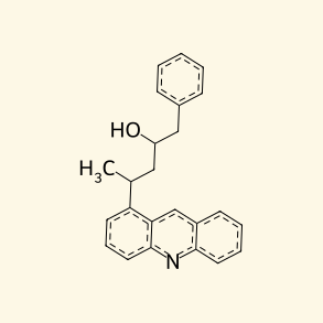 CC(CC(O)Cc1ccccc1)c1cccc2nc3ccccc3cc12